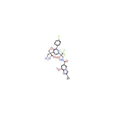 CC[C@@]1(C(N)=O)COc2c1cc(C(O)(CNC(=O)c1cc(OC)c3nc(C4CC4)cn3c1)C(F)(F)F)nc2-c1ccc(F)cc1